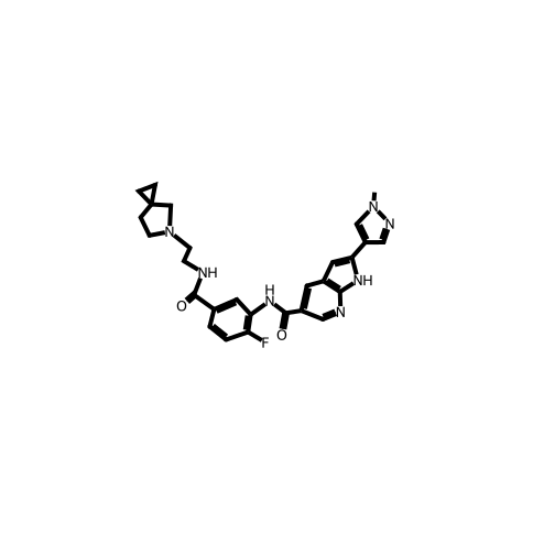 Cn1cc(-c2cc3cc(C(=O)Nc4cc(C(=O)NCCN5CCC6(CC6)C5)ccc4F)cnc3[nH]2)cn1